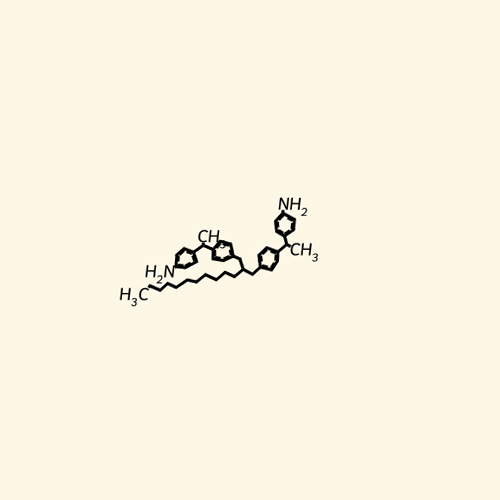 CCCCCCCCCCCC(Cc1ccc(C(C)c2ccc(N)cc2)cc1)Cc1ccc(C(C)c2ccc(N)cc2)cc1